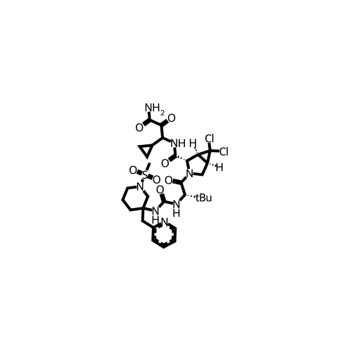 CC(C)(C)[C@H](NC(=O)NC1(Cc2ccccn2)CCCN(S(C)(=O)=O)C1)C(=O)N1C[C@H]2[C@@H]([C@H]1C(=O)NC(C(=O)C(N)=O)C1CC1)C2(Cl)Cl